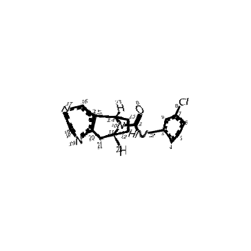 O=C(Nc1cccc(Cl)c1)N1[C@@H]2CC[C@H]1c1cncnc1C2